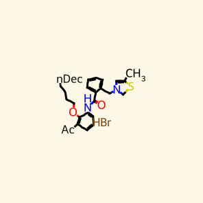 Br.CCCCCCCCCCCCCCOc1c(NC(=O)c2ccccc2CN2C=C(C)SC2)cccc1C(C)=O